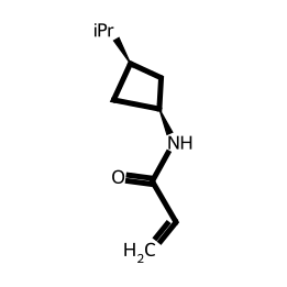 C=CC(=O)N[C@H]1C[C@@H](C(C)C)C1